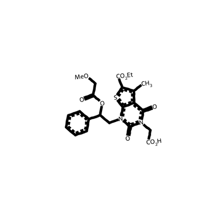 CCOC(=O)c1sc2c(c1C)c(=O)n(CC(=O)O)c(=O)n2CC(OC(=O)COC)c1ccccc1